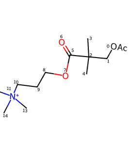 CC(=O)OCC(C)(C)C(=O)OCCC[N+](C)(C)C